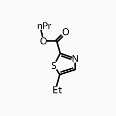 [CH2]Cc1cnc(C(=O)OCCC)s1